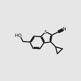 N#Cc1sc2cc(CO)ccc2c1C1CC1